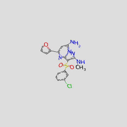 CNc1nn2c(N)cc(-c3ccco3)nc2c1S(=O)(=O)c1cccc(Cl)c1